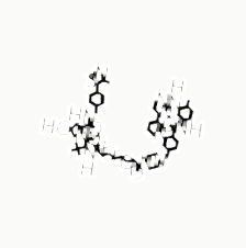 Cc1ccc(NC(=O)c2ccc(CN3CCN(C(=O)COCCOCC(=O)N[C@H](C(=O)N4CC(O)CC4C(=O)NCc4ccc(-c5scnc5C)cc4)C(C)(C)C)CC3)cc2)cc1Nc1nccc(-c2cccnc2)n1